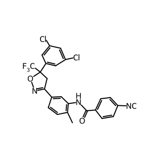 [C-]#[N+]c1ccc(C(=O)Nc2cc(C3=NOC(c4cc(Cl)cc(Cl)c4)(C(F)(F)F)C3)ccc2C)cc1